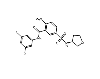 COc1ccc(S(=O)(=O)N[C@H]2CCOC2)cc1C(=O)Nc1cc(F)cc(Cl)c1